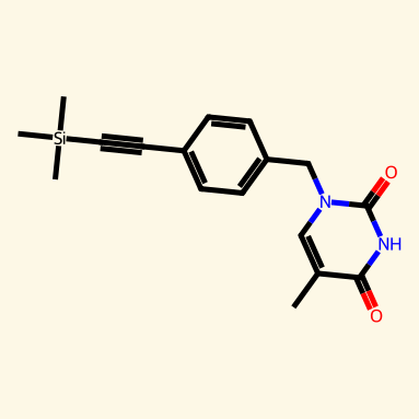 Cc1cn(Cc2ccc(C#C[Si](C)(C)C)cc2)c(=O)[nH]c1=O